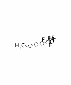 CCCC1CCC(C2CCC(C3CCC(C4CC(F)C(OC(F)(F)F)C(F)C4)C(F)C3)CC2)CC1